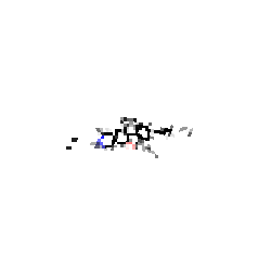 CC#Cc1cc(C)c(C2=C(OC(C)=O)CC3(CCN(C(C)=O)CC3)CC2=O)c(C)c1